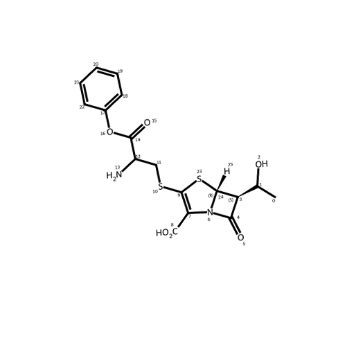 CC(O)[C@H]1C(=O)N2C(C(=O)O)=C(SCC(N)C(=O)Oc3ccccc3)S[C@H]12